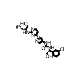 CC(C)C[C@H](CO)Nc1nccc(-n2cc(NC(=O)N[C@H](CO)c3cccc(Cl)c3)cn2)n1